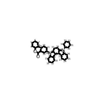 O=c1oc2ccccc2c2ccc(-n3c4ccccc4c4c5c6ccccc6n(-c6ccccc6)c5ccc43)cc12